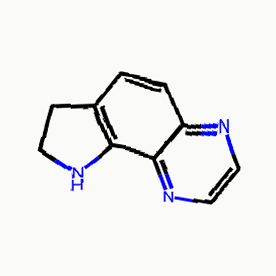 c1cnc2c3c(ccc2n1)CCN3